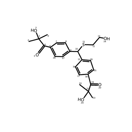 CC(C)(O)C(=O)c1ccc(C(SCCO)c2ccc(C(=O)C(C)(C)O)cc2)cc1